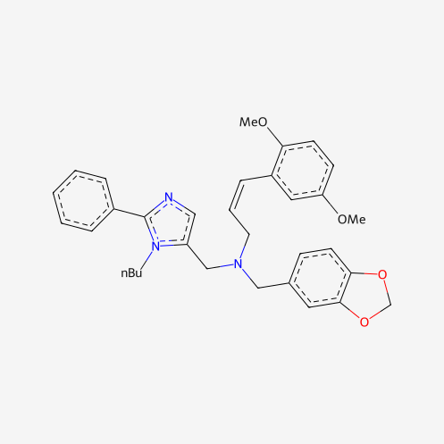 CCCCn1c(CN(C/C=C\c2cc(OC)ccc2OC)Cc2ccc3c(c2)OCO3)cnc1-c1ccccc1